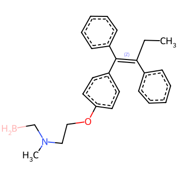 BCN(C)CCOc1ccc(/C(=C(/CC)c2ccccc2)c2ccccc2)cc1